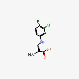 CC(=CNc1ccc(F)c(Cl)c1)C(=O)S